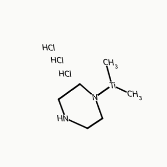 Cl.Cl.Cl.[CH3][Ti]([CH3])[N]1CCNCC1